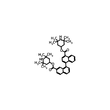 CC1(C)CC(OC(=O)c2ccc3cccc(-c4ccc(C(=O)OC5CC(C)(C)NC(C)(C)C5)c5ccccc45)c3c2)CC(C)(C)N1